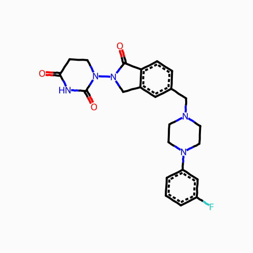 O=C1CCN(N2Cc3cc(CN4CCN(c5cccc(F)c5)CC4)ccc3C2=O)C(=O)N1